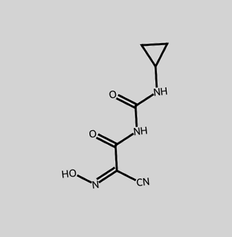 N#C/C(=N/O)C(=O)NC(=O)NC1CC1